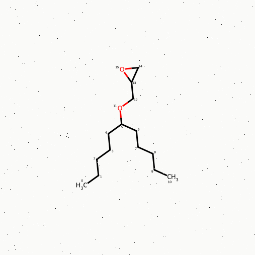 CCCCCC(CCCCC)OCC1CO1